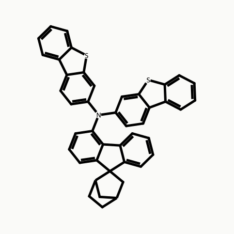 c1ccc2c(c1)-c1c(N(c3ccc4c(c3)sc3ccccc34)c3ccc4c(c3)sc3ccccc34)cccc1C21CC2CCC1C2